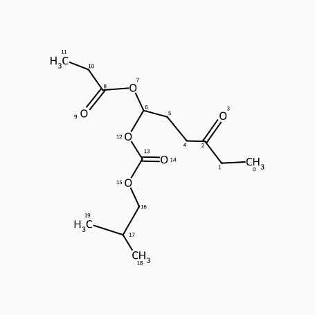 CCC(=O)CCC(OC(=O)CC)OC(=O)OCC(C)C